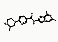 Cc1cn2cc(NC(=O)c3ccc(N4CCNC(C)C4)nc3)nc2c(C)n1